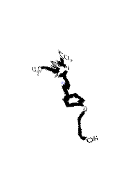 OCCCOc1ccc(/C=C/c2nc(C(Cl)(Cl)Cl)nc(C(Cl)(Cl)Cl)n2)cc1